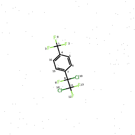 FC(F)(F)c1ccc(C(F)(Cl)C(F)(F)Cl)cc1